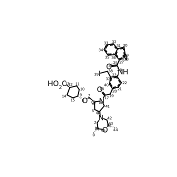 C[C@@H]1CN([C@H]2C[C@@H](CO[C@H]3CC[C@H](C(=O)O)CC3)N(C(=O)Cc3ccc(NC(=O)c4nccc5ccccc45)c(CI)c3)C2)C[C@H](C)O1